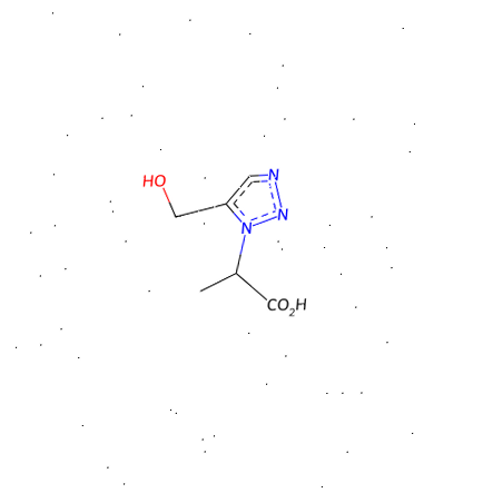 CC(C(=O)O)n1nncc1CO